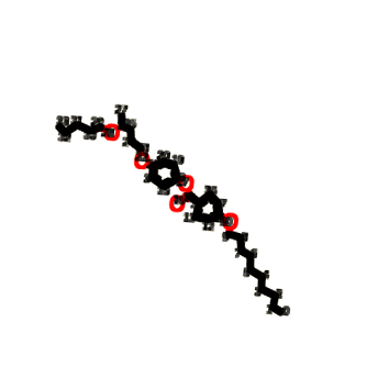 CCCCCCCCCCOc1ccc(C(=O)Oc2ccc(OCCCC(C)OCCCCC)cc2)cc1